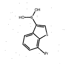 CC(C)c1cccc2c(B(O)O)csc12